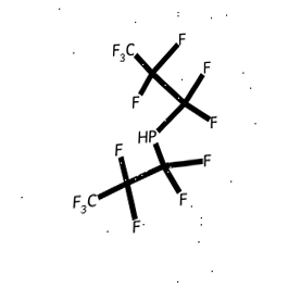 FC(F)(F)C(F)(F)C(F)(F)PC(F)(F)C(F)(F)C(F)(F)F